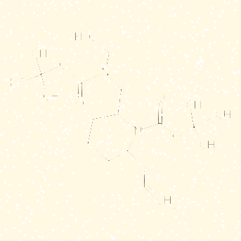 C=CCC1CCCC(CN(CC)C(=O)OC(C)(C)C)N1C(=O)OC(C)(C)C